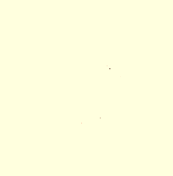 C=CC(=O)N1CC(C)(C)Oc2ccc(Nc3cc(Oc4cccc(CI)c4)ncn3)cc21